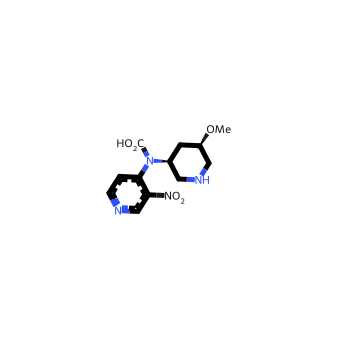 CO[C@H]1CNC[C@@H](N(C(=O)O)c2ccncc2[N+](=O)[O-])C1